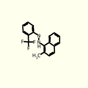 Cc1ccc2ccccc2c1N[N]c1ccccc1C(F)(F)F